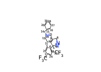 FC(F)(F)c1ccc(-c2nncc3c2CCN(Cc2ccccc2)C3)c(C(F)(F)F)c1